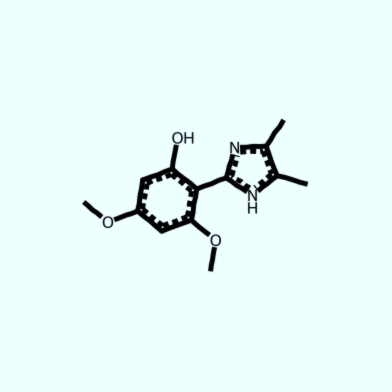 COc1cc(O)c(-c2nc(C)c(C)[nH]2)c(OC)c1